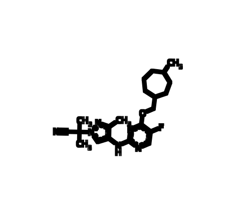 Cc1nn(C(C)(C)C#N)cc1Nc1ncc(F)c(OCC2CCCC(C)CC2)n1